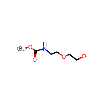 CC(C)(C)OC(=O)NCCOCC[O]